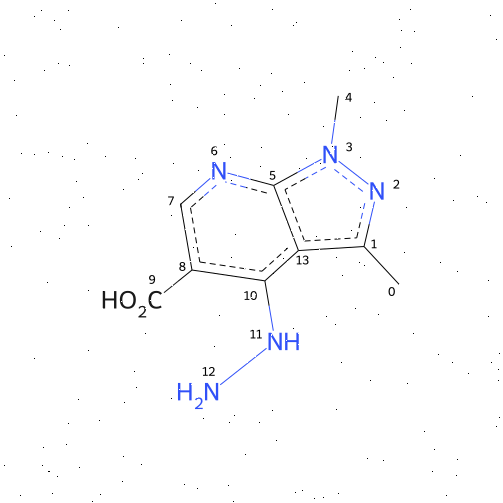 Cc1nn(C)c2ncc(C(=O)O)c(NN)c12